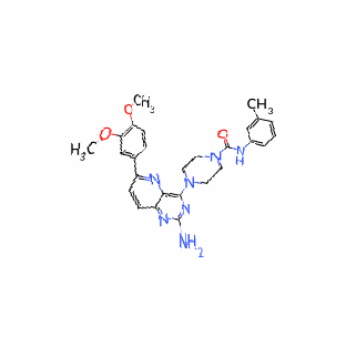 COc1ccc(-c2ccc3nc(N)nc(N4CCN(C(=O)Nc5cccc(C)c5)CC4)c3n2)cc1OC